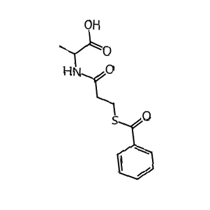 CC(NC(=O)CCSC(=O)c1ccccc1)C(=O)O